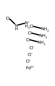 NCl.NCl.NCl.[Cl-].[Cl-].[Cl-].[NH3+]NCl.[Pd+2]